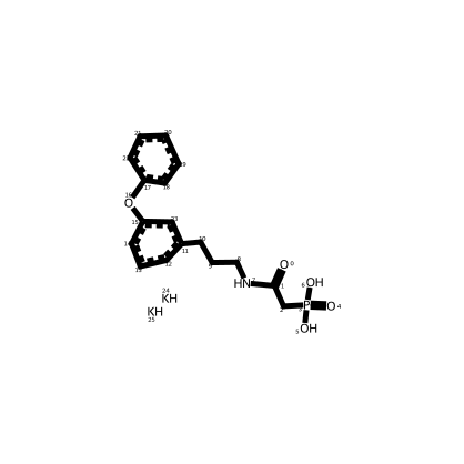 O=C(CP(=O)(O)O)NCCCc1cccc(Oc2ccccc2)c1.[KH].[KH]